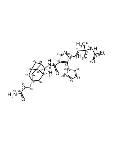 CCC(=O)NC(C)(C)/C=C/n1ncc(C(=O)N[C@H]2C3CC4CC2C[C@](COC(N)=O)(C4)C3)c1-n1cccn1